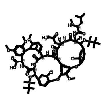 CN[C@@H](CC(C)C)C(=O)N[C@H]1C(=O)N[C@@H](CC(N)=O)C(=O)N[C@H]2C(=O)N[C@H]3C(=O)N[C@H](C(=O)N[C@@H](C(=O)O)c4cc(OC)cc(OC)c4C4C(OC)=CC=C3C4C)C(O[Si](C)(C)C(C)(C)C)C3=CC=C(Oc4cc2cc(c4OC)Oc2ccc(cc2Cl)C1O[Si](C)(C)C(C)(C)C)C(Cl)C3